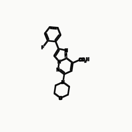 O=C(O)c1cc(N2CCOCC2)nn2cc(-c3ccccc3F)nc12